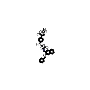 CCC(C(=O)O)c1ccc(NC2=NC(=O)/C(=C\c3cc4ccccc4cc3OCc3ccccc3)S2)cc1